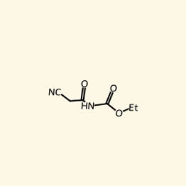 CCOC(=O)NC(=O)CC#N